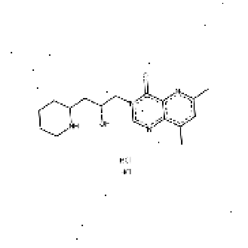 Cc1cc(C)c2ncn(CC(O)CC3CCCCN3)c(=O)c2n1.Cl.Cl